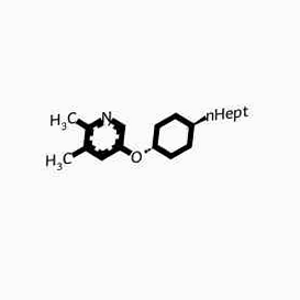 CCCCCCC[C@H]1CC[C@H](Oc2cnc(C)c(C)c2)CC1